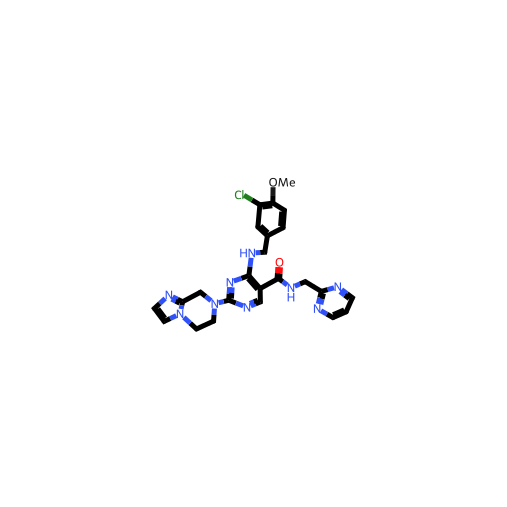 COc1ccc(CNc2nc(N3CCn4ccnc4C3)ncc2C(=O)NCc2ncccn2)cc1Cl